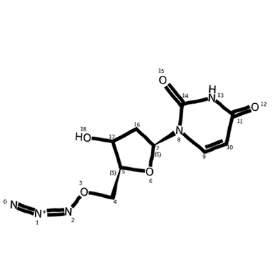 [N-]=[N+]=NOC[C@@H]1O[C@H](n2ccc(=O)[nH]c2=O)CC1O